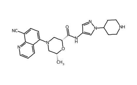 C[C@@H]1CN(c2ccc(C#N)c3ncccc23)C[C@H](C(=O)Nc2cnn(C3CCNCC3)c2)O1